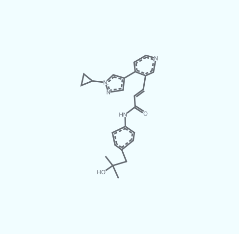 CC(C)(O)Cc1ccc(NC(=O)C=Cc2cnccc2-c2cnn(C3CC3)c2)cc1